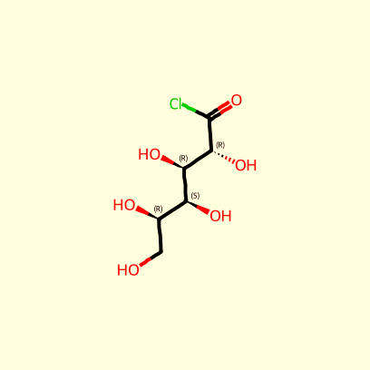 O=C(Cl)[C@H](O)[C@H](O)[C@@H](O)[C@H](O)CO